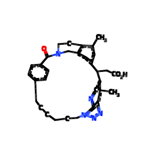 Cc1cc2cc3c1CCN(C3)C(=O)c1ccc(cc1)CCCCCCn1nnc3c(C)c(cnc31)C2CC(=O)O